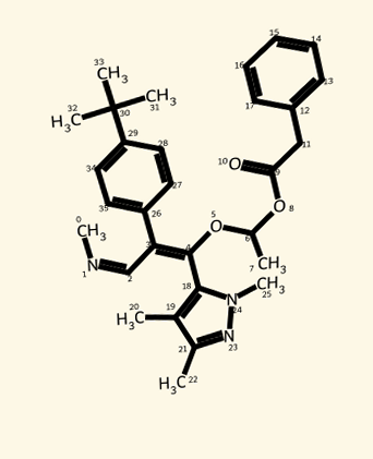 C/N=C\C(=C(\OC(C)OC(=O)Cc1ccccc1)c1c(C)c(C)nn1C)c1ccc(C(C)(C)C)cc1